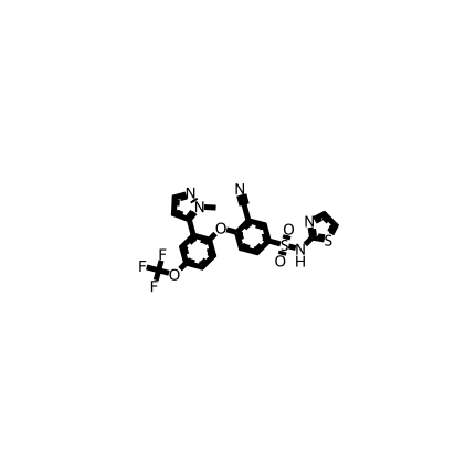 Cn1nccc1-c1cc(OC(F)(F)F)ccc1Oc1ccc(S(=O)(=O)Nc2nccs2)cc1C#N